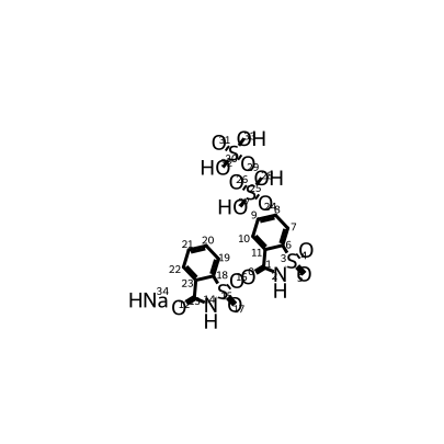 O=C1NS(=O)(=O)c2ccccc21.O=C1NS(=O)(=O)c2ccccc21.O=S(=O)(O)O.O=S(=O)(O)O.[NaH]